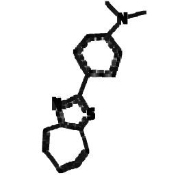 CN(C)c1ccc(-c2nc3c(s2)C=C=CC=C3)cc1